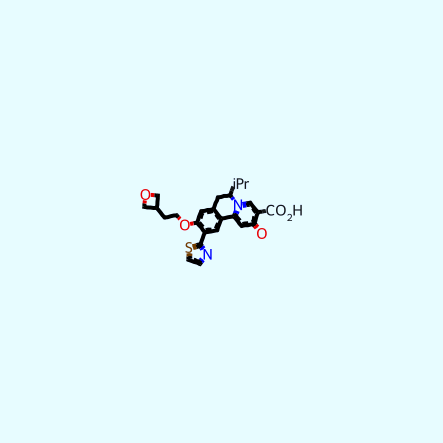 CC(C)C1Cc2cc(OCCC3COC3)c(-c3nccs3)cc2-c2cc(=O)c(C(=O)O)cn21